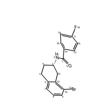 O=C(N[C@H]1CCc2cccc(Br)c2C1)c1ccc(F)cc1